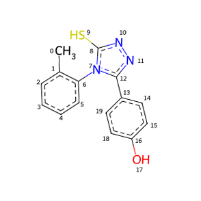 Cc1ccccc1-n1c(S)nnc1-c1ccc(O)cc1